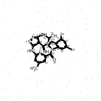 Cc1cc(Nc2snc(O)c2C(=N)NC(C)C(C)C)nc(C(=O)N2CCc3c(I)cc(I)cc32)c1